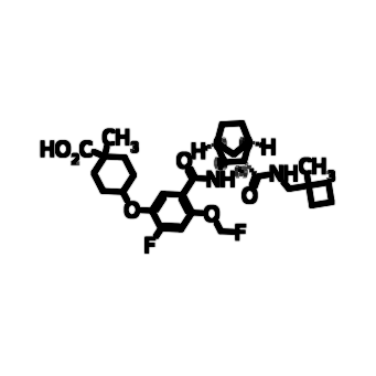 CC1(CNC(=O)[C@H]2[C@@H]3CC[C@@H](C3)[C@H]2NC(=O)c2cc(OC3CCC(C)(C(=O)O)CC3)c(F)cc2OCF)CCC1